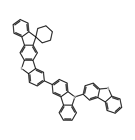 c1ccc2c(c1)-c1cc3sc4ccc(-c5ccc6c(c5)c5ccccc5n6-c5ccc6sc7ccccc7c6c5)cc4c3cc1C21CCCCC1